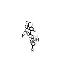 CCC(=O)c1ccc(F)c(C2CC2NC(=O)Nc2ccc(C#N)cn2)c1OC(=O)OCI